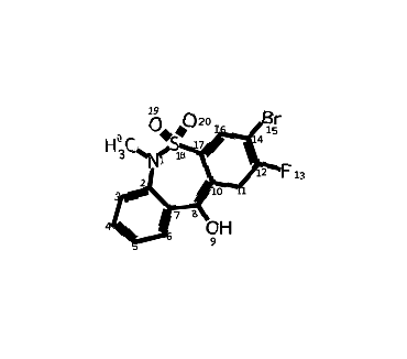 CN1c2ccccc2C(O)=C2CC(F)=C(Br)C=C2S1(=O)=O